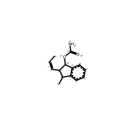 C/C=C\C1C(C)c2ccccc2C1OC(N)=O